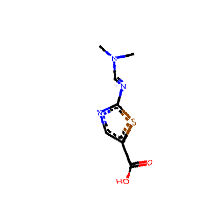 CN(C)/C=N/c1ncc(C(=O)O)s1